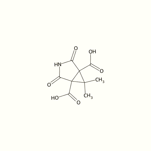 CC1(C)C2(C(=O)O)C(=O)NC(=O)C12C(=O)O